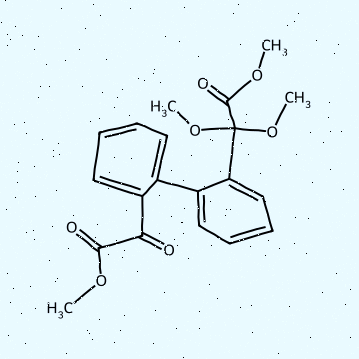 COC(=O)C(=O)c1ccccc1-c1ccccc1C(OC)(OC)C(=O)OC